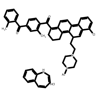 C1=CNc2ccccc2C=C1.CC(=O)N1CCN(CCC2C=c3c(Cl)cccc3=c3ccc4c(c32)CCCC=4C(=O)c2ccc(C(=O)c3ccccc3C)cc2C)CC1.Cl